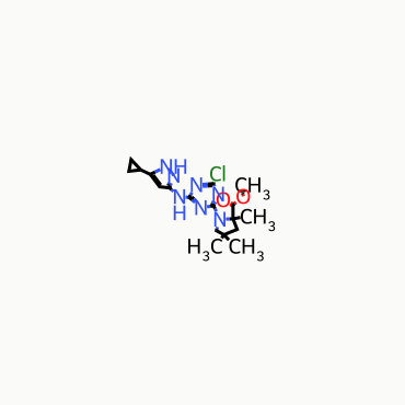 COC(=O)C1(C)CC(C)(C)CN1c1nc(Cl)nc(Nc2cc(C3CC3)[nH]n2)n1